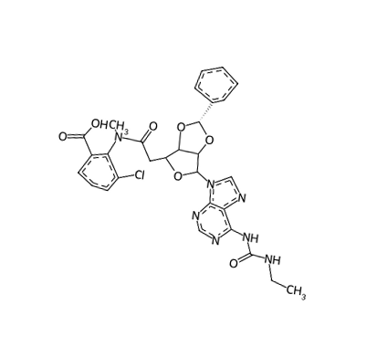 CCNC(=O)Nc1ncnc2c1ncn2C1OC(CC(=O)N(C)c2c(Cl)cccc2C(=O)O)C2O[C@H](c3ccccc3)OC21